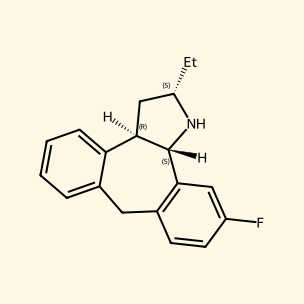 CC[C@H]1C[C@@H]2c3ccccc3Cc3ccc(F)cc3[C@H]2N1